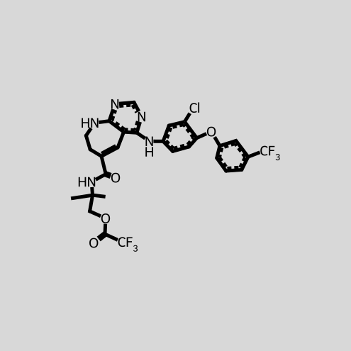 CC(C)(COC(=O)C(F)(F)F)NC(=O)C1=Cc2c(ncnc2Nc2ccc(Oc3cccc(C(F)(F)F)c3)c(Cl)c2)NCC1